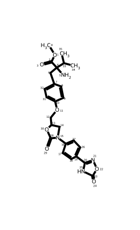 COC(=O)C(N)(Cc1ccc(OCC2CN(c3ccc(-c4noc(=O)[nH]4)cc3)C(=O)O2)cc1)C(C)C